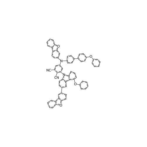 N#Cc1cc(N(c2ccc(-c3ccc(Oc4ccccc4)cc3)cc2)c2ccc3c(c2)oc2ccccc23)cc(-n2c3ccc(-c4ccc5oc6ccccc6c5c4)cc3c3c(Oc4ccccc4)cccc32)c1C#N